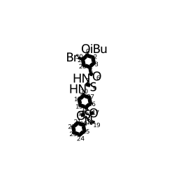 CC(C)COc1ccc(C(=O)NC(=S)Nc2ccc(S(=O)(=O)N(C)c3ccccc3)cc2)cc1Br